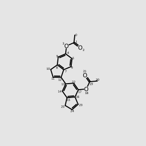 CC(=O)Oc1ccc2c(c1)CC=C2c1cc2c(c(OC(C)=O)c1)C=CC2